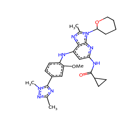 COc1cc(-c2nc(C)nn2C)ccc1Nc1cc(NC(=O)C2CC2)nc2c1nc(C)n2C1CCCCO1